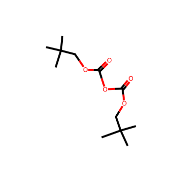 CC(C)(C)COC(=O)OC(=O)OCC(C)(C)C